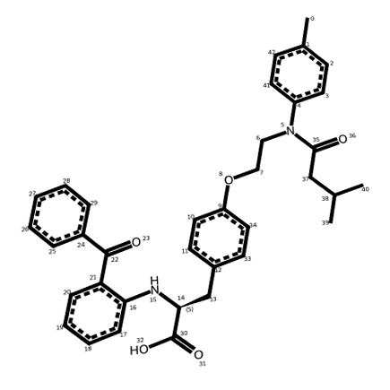 Cc1ccc(N(CCOc2ccc(C[C@H](Nc3ccccc3C(=O)c3ccccc3)C(=O)O)cc2)C(=O)CC(C)C)cc1